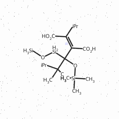 CC(C)/C(C(=O)O)=C(\C(=O)O)C(O[Si](C)(C)C)([SiH2]O[SiH3])C(C)(C)C(C)C